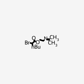 CCCCC(Br)C(=O)OCCN=C(C)C